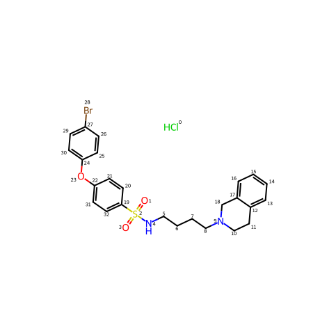 Cl.O=S(=O)(NCCCCN1CCc2ccccc2C1)c1ccc(Oc2ccc(Br)cc2)cc1